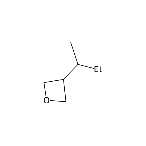 CCC(C)C1COC1